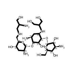 NC(CO)CNC[C@H]1O[C@H](O[C@H]2[C@H](O)[C@@H](O[C@H]3O[C@H](CO)[C@@H](O)[C@H](N)[C@H]3O)[C@H](NC(CO)CO)C[C@@H]2N)[C@H](N)C[C@@H]1O